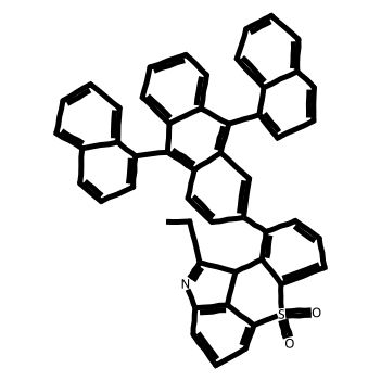 CCC1=Nc2cccc3c2C1c1c(-c2ccc4c(-c5cccc6ccccc56)c5ccccc5c(-c5cccc6ccccc56)c4c2)cccc1S3(=O)=O